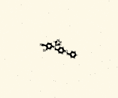 N#Cc1ccc(N(Cc2ccc(OCc3ccccc3)cc2)n2cnnc2)cc1Br